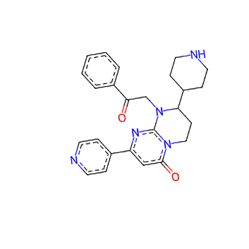 O=C(CN1c2nc(-c3ccncc3)cc(=O)n2CCC1C1CCNCC1)c1ccccc1